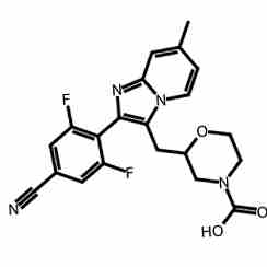 Cc1ccn2c(CC3CN(C(=O)O)CCO3)c(-c3c(F)cc(C#N)cc3F)nc2c1